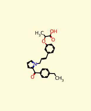 CCc1ccc(C(=O)c2cccn2C/C=C/c2cccc(OC(C)C(=O)O)c2)cc1